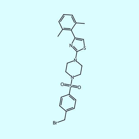 Cc1cccc(C)c1-c1csc(N2CCN(S(=O)(=O)c3ccc(CBr)cc3)CC2)n1